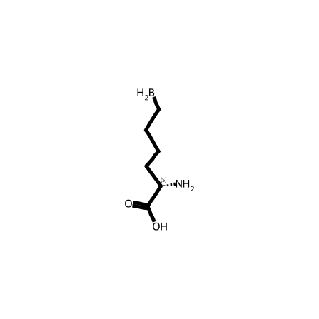 BCCCC[C@H](N)C(=O)O